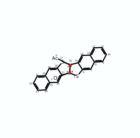 CC(=O)N1[S+]([O-])C23Sc4cc5ccccc5cc4C12Sc1cc2ccccc2cc13